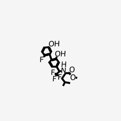 COC(=O)C(CC(C)C)NC(c1ccc(-c2cc(O)ccc2F)c(O)c1)C(F)(F)F